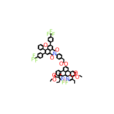 CCOC(=O)C1=C(C)C2=C(c3c(-c4ccccc4)cc(OC(=O)Cc4ccc(-n5c(=O)c6cc(-c7ccc(C(F)(F)F)cc7)c7oc8ccccc8c8c(-c9ccc(C(F)(F)F)cc9)cc(c5=O)c6c78)cc4)cc3-c3ccccc3)c3c(C)c(C(=O)OCC)c(CC)n3[B-](F)(F)N2C=C1CC